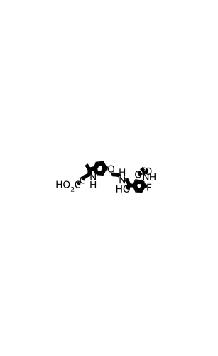 Cc1c(CCC(=O)O)[nH]c2cc(OCCNCC(O)c3ccc(F)c(NS(C)(=O)=O)c3)ccc12